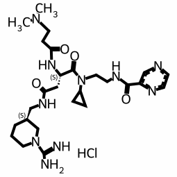 CN(C)CCC(=O)N[C@@H](CC(=O)NC[C@@H]1CCCN(C(=N)N)C1)C(=O)N(CCNC(=O)c1cnccn1)C1CC1.Cl